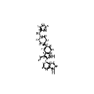 CCc1c(-c2ccnc3[nH]ncc23)[nH]c2ccc(C3CCN(Cc4cocn4)CC3)cc12